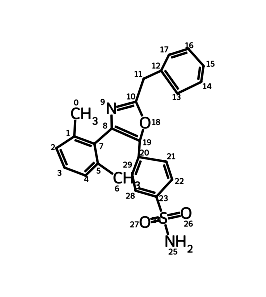 Cc1cccc(C)c1-c1nc(Cc2ccccc2)oc1-c1ccc(S(N)(=O)=O)cc1